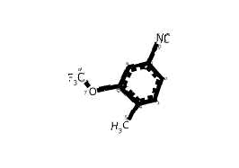 [C-]#[N+]c1ccc(C)c(OC(F)(F)F)c1